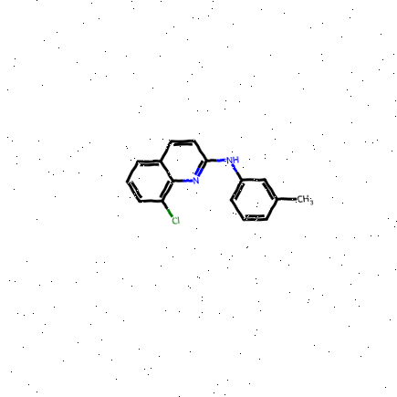 Cc1cccc(Nc2ccc3cccc(Cl)c3n2)c1